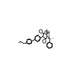 CCCc1ccc(-c2ccc(C(C(=O)N[C@H](C)c3ccccc3)C(=O)OC)cc2)cc1